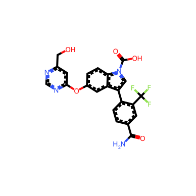 NC(=O)c1ccc(-c2cn(C(=O)O)c3ccc(Oc4cc(CO)ncn4)cc23)c(C(F)(F)F)c1